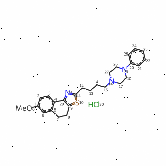 COc1ccc2c(c1)CCc1sc(CCCCN3CCN(c4ccccc4)CC3)nc1-2.Cl